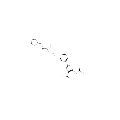 NC(=O)Nc1sc(-c2cccc(CCC[C@H](N)C(=O)OC3CCCC3)c2)cc1C(N)=O